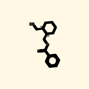 O=C(OC[C@@H]1CCCC[C@@H]1CO)c1ccccc1